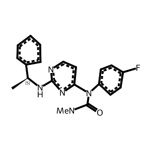 CNC(=O)N(c1ccc(F)cc1)c1ccnc(N[C@@H](C)c2ccccc2)n1